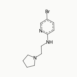 Brc1ccc(NCCN2CCCC2)nc1